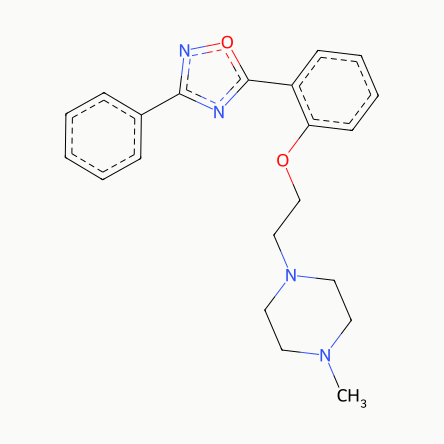 CN1CCN(CCOc2ccccc2-c2nc(-c3ccccc3)no2)CC1